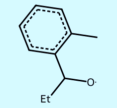 CCC([O])c1ccccc1C